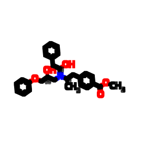 COC(=O)c1ccc(C[C@@H](C)N(C[C@H](O)COc2ccccc2)[C@H](O)Cc2ccccc2)cc1